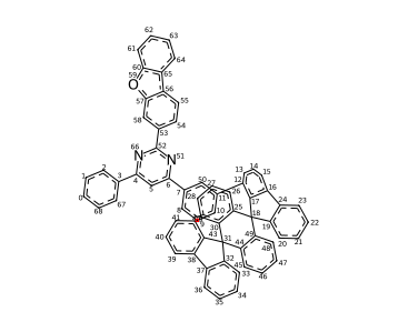 c1ccc(-c2cc(-c3cccc(-c4cccc5c4C4(c6ccccc6-5)c5ccccc5C5(c6ccccc6-c6ccccc65)c5ccccc54)c3)nc(-c3ccc4c(c3)oc3ccccc34)n2)cc1